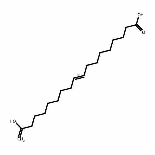 C=C(O)CCCCCCC/C=C/CCCCCCCC(=O)O